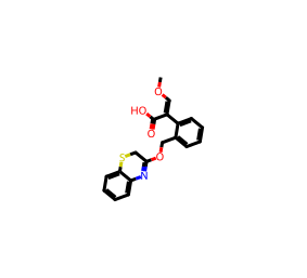 COC=C(C(=O)O)c1ccccc1COC1=Nc2ccccc2SC1